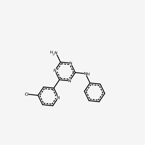 Nc1nc(Nc2ccccc2)nc(-c2cc(Cl)ccn2)n1